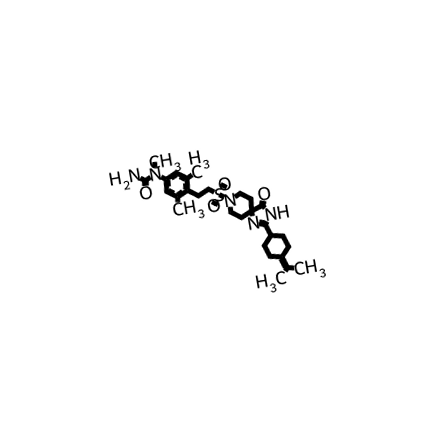 CC(C)=C1CCC(C2=NC3(CCN(S(=O)(=O)CCc4c(C)cc(N(C)C(N)=O)cc4C)CC3)C(=O)N2)CC1